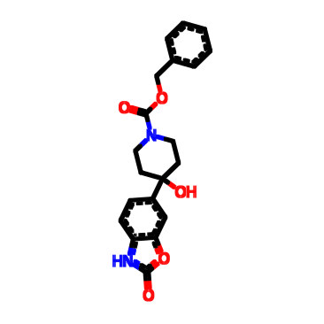 O=C(OCc1ccccc1)N1CCC(O)(c2ccc3[nH]c(=O)oc3c2)CC1